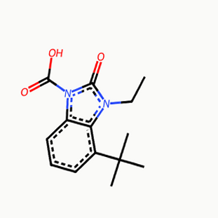 CCn1c(=O)n(C(=O)O)c2cccc(C(C)(C)C)c21